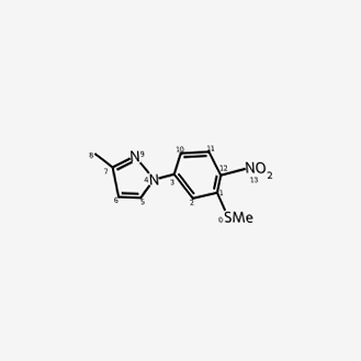 CSc1cc(-n2ccc(C)n2)ccc1[N+](=O)[O-]